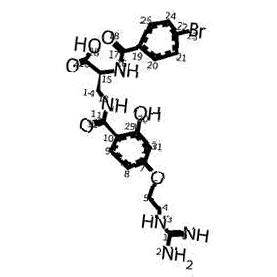 N=C(N)NCCOc1ccc(C(=O)NC[C@H](NC(=O)c2ccc(Br)cc2)C(=O)O)c(O)c1